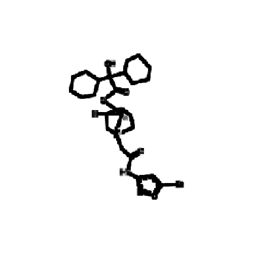 CCc1cc(NC(=O)C[N+]23CCC(CC2)[C@@H](OC(=O)C(O)(C2CCCCC2)C2CCCCC2)C3)no1